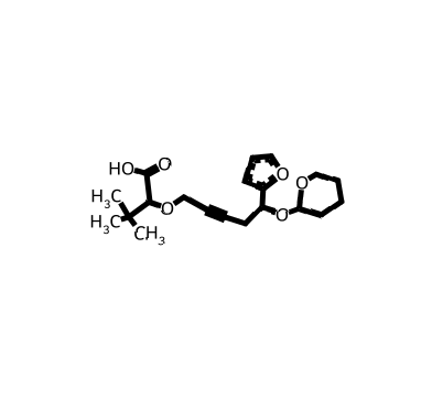 CC(C)(C)C(OCC#CCC(OC1CCCCO1)c1ccco1)C(=O)O